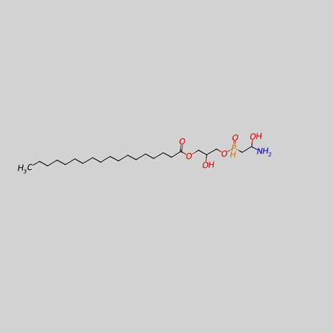 CCCCCCCCCCCCCCCCCC(=O)OCC(O)CO[PH](=O)CC(N)O